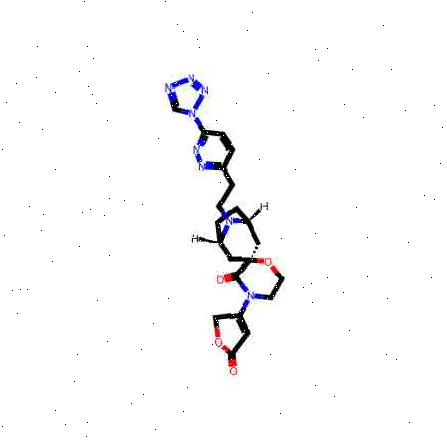 O=C1C=C(N2CCO[C@@]3(C[C@H]4CC[C@@H](C3)N4CCc3ccc(-n4cnnn4)nn3)C2=O)CO1